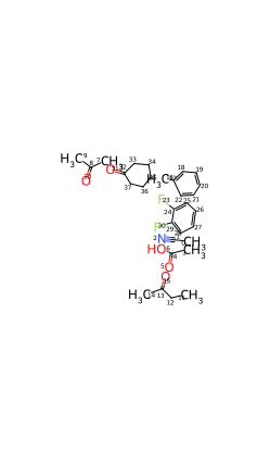 CC#N.CC(=O)O.CC(C)=O.CCC(C)=O.Cc1ccccc1.Fc1ccccc1F.O=C1CCCCC1